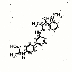 COc1ccccc1[C@H](C)C(C)CNc1cc(-c2ccc(N[C@@H](C)CO)nc2)ncn1